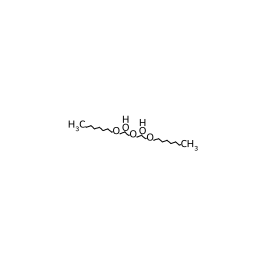 CCCCCCCCOCC(O)COCC(O)COCCCCCCCC